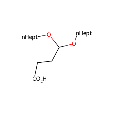 CCCCCCCOC(CCC(=O)O)OCCCCCCC